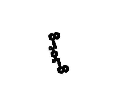 O=C(OC#Cc1cccc2ccccc12)c1ccc(C(=O)OC#Cc2cccc3ccccc23)cc1